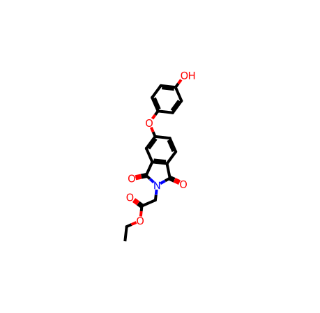 CCOC(=O)CN1C(=O)c2ccc(Oc3ccc(O)cc3)cc2C1=O